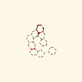 c1ccc(-c2ccc3ccccc3c2-c2ccc3cc4ccccc4cc3c2-c2cccc3ccc4cc5ccccc5cc4c23)cc1